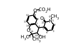 Cn1cccc(C2c3cc(OC(=O)O)ccc3OC(C)(C)C2O)c1=O